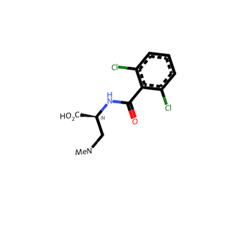 CNC[C@H](NC(=O)c1c(Cl)cccc1Cl)C(=O)O